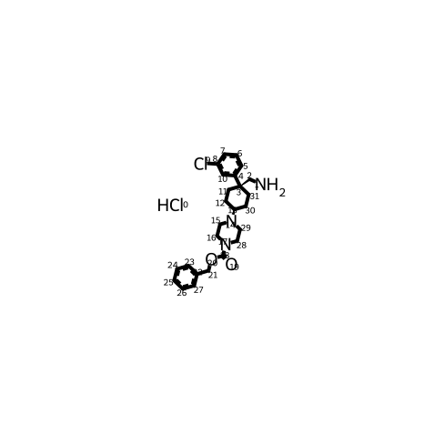 Cl.NC[C@]1(c2cccc(Cl)c2)CC[C@H](N2CCN(C(=O)OCc3ccccc3)CC2)CC1